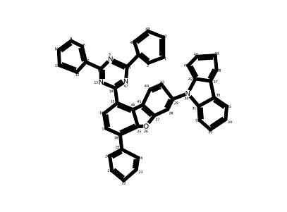 c1ccc(-c2nc(-c3ccccc3)nc(-c3ccc(-c4ccccc4)c4oc5cc(-n6c7ccccc7c7ccccc76)ccc5c34)n2)cc1